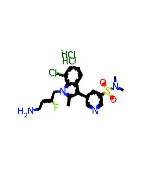 Cc1c(-c2cncc(S(=O)(=O)N(C)C)c2)c2cccc(Cl)c2n1CC(F)=CCN.Cl.Cl